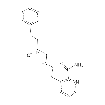 NC(=O)c1ncccc1CCNC[C@H](O)[CH]Cc1ccccc1